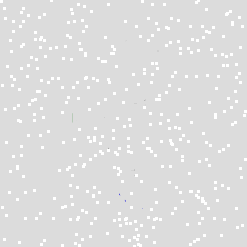 Cl.NC1CCCC2(CCCCC2)CC1